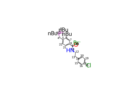 CCCC[P+](CCCC)(CCCC)Cc1ccc(C(=O)NCCc2ccc(Cl)cc2)cc1.[Br-]